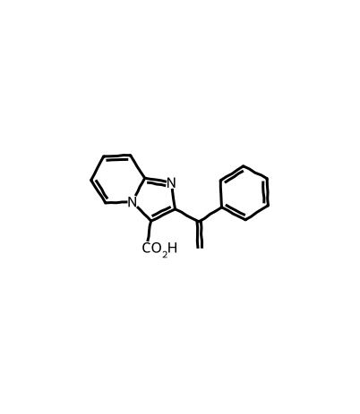 C=C(c1ccccc1)c1nc2ccccn2c1C(=O)O